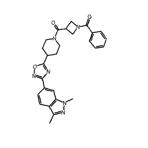 Cc1nn(C)c2cc(-c3noc(C4CCN(C(=O)C5CN(C(=O)c6ccccc6)C5)CC4)n3)ccc12